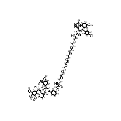 CC[C@H](C(=O)N1CCCC[C@H]1C(=O)O[C@H](CCc1ccc(OC)c(OC)c1)c1cccc(OCC(=O)NCCOCCOCCOCCOCCOCCOCCOCCNC(=O)C[C@@H]2N=C(c3ccc(Cl)cc3)c3cc(OC)ccc3-n3c(C)nnc32)c1)c1cc(OC)c(OC)c(OC)c1